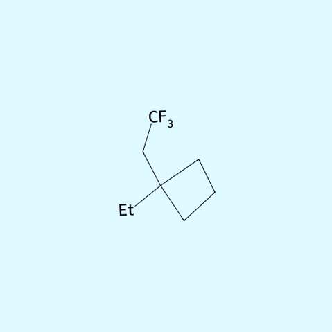 CCC1(CC(F)(F)F)CCC1